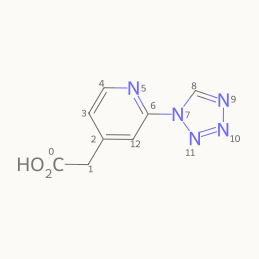 O=C(O)Cc1ccnc(-n2cnnn2)c1